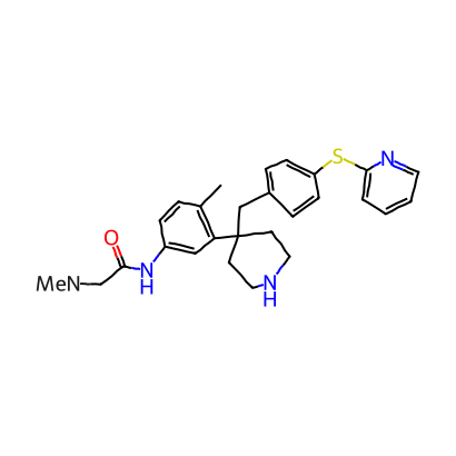 CNCC(=O)Nc1ccc(C)c(C2(Cc3ccc(Sc4ccccn4)cc3)CCNCC2)c1